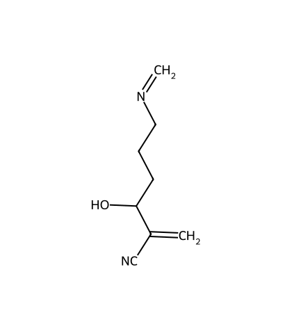 C=NCCCC(O)C(=C)C#N